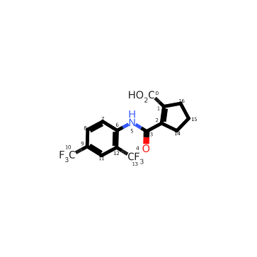 O=C(O)C1=C(C(=O)Nc2ccc(C(F)(F)F)cc2C(F)(F)F)CCC1